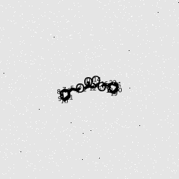 O=C(COCCc1ccccc1)CC(=O)OCc1ccccc1